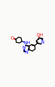 O=C1CCC(Nc2ncnc3c2C=C(c2cncc(O)c2)CC3)CC1